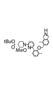 CO[C@H]1CN(c2cccc(-c3cccc(C)c3OCc3ccc4c(c3C)CNC4)n2)CC[C@H]1C(=O)OC(C)(C)C